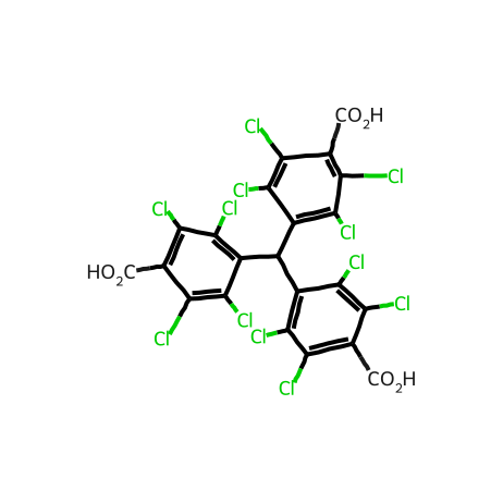 O=C(O)c1c(Cl)c(Cl)c(C(c2c(Cl)c(Cl)c(C(=O)O)c(Cl)c2Cl)c2c(Cl)c(Cl)c(C(=O)O)c(Cl)c2Cl)c(Cl)c1Cl